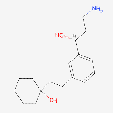 NCC[C@@H](O)c1cccc(CCC2(O)CCCCC2)c1